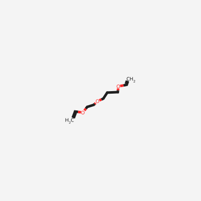 C=COCCCOCCOC=C